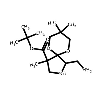 CC1(C)COC2(OC1)C(CN)NCC2(C)C(=O)OC(C)(C)C